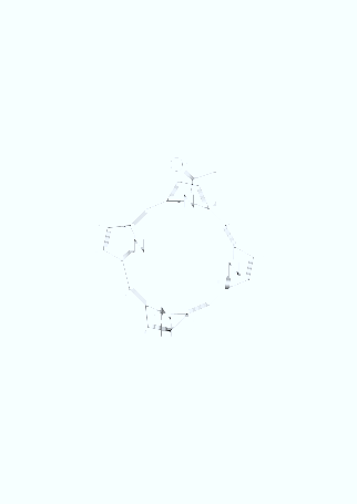 CC(=O)n1c2ccc1cc1nc(cc3ccc(cc4nc(c2)C=C4)[nH]3)C=C1